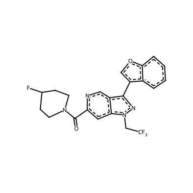 O=C(c1cc2c(cn1)c(-c1coc3ccccc13)nn2CC(F)(F)F)N1CCC(F)CC1